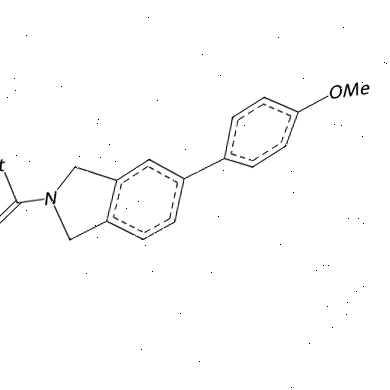 CCC(=O)N1Cc2ccc(-c3ccc(OC)cc3)cc2C1